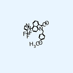 COc1ccc(Cn2c(=C=O)c3cccc4c(-n5nccc5C(F)(F)F)ccc2c43)cc1